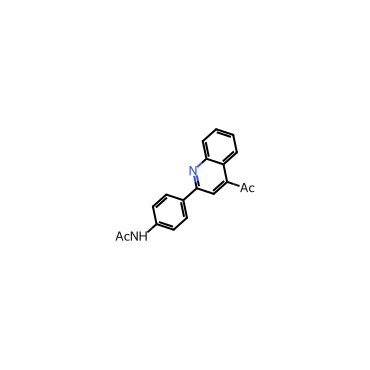 CC(=O)Nc1ccc(-c2cc(C(C)=O)c3ccccc3n2)cc1